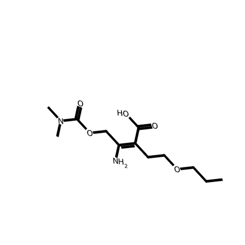 CCCOCCC(C(=O)O)=C(N)COC(=O)N(C)C